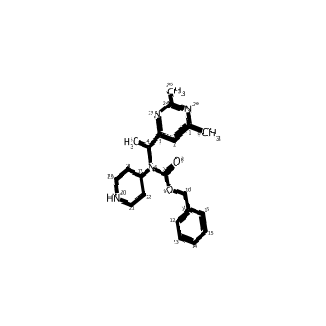 Cc1cc(C(C)N(C(=O)OCc2ccccc2)C2CCNCC2)nc(C)n1